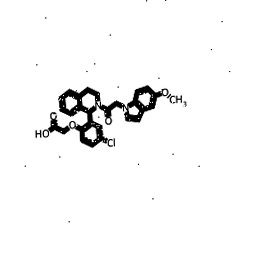 COc1ccc2c(ccn2CC(=O)N2CCc3ccccc3C2c2cc(Cl)ccc2OCC(=O)O)c1